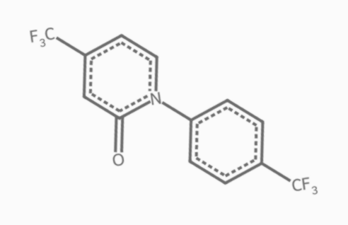 O=c1cc(C(F)(F)F)ccn1-c1ccc(C(F)(F)F)cc1